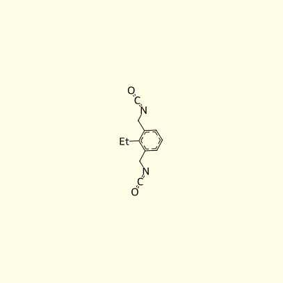 CCc1c(CN=C=O)cccc1CN=C=O